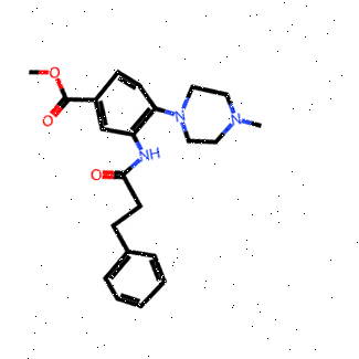 COC(=O)c1ccc(N2CCN(C)CC2)c(NC(=O)CCc2ccccc2)c1